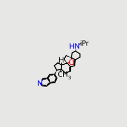 CC(C)N[C@@H]1CCC2=CC3=CC[C@]4(C)[C@@H](c5ccc6ccncc6c5)CC[C@H]4[C@@]34CC[C@]2(C1)O4